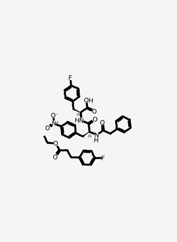 CCOC(=O)CCc1ccc(F)cc1.O=C(Cc1ccccc1)N[C@@H](Cc1ccc([N+](=O)[O-])cc1)C(=O)N[C@@H](Cc1ccc(F)cc1)C(=O)O